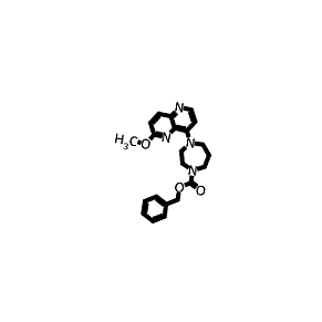 COc1ccc2nccc(N3CCCN(C(=O)OCc4ccccc4)CC3)c2n1